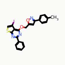 Cc1ccc(-c2cc(COc3nc(-c4ccccc4)nc4scc(I)c34)on2)cc1